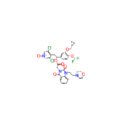 O=C(Cn1c(=O)c2ccccc2n(CCN2CCOCC2)c1=O)OC(Cc1c(Cl)c[n+]([O-])cc1Cl)c1ccc(OC(F)F)c(OCC2CC2)c1